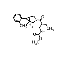 CCC(CNC(=O)OC)C(=O)N1CC2C(c3ccccc3C)C2(C)C1